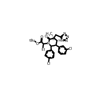 CCC(C(=O)OC(C)(C)C)N1C(=O)[C@@](C)(Cc2nnn[nH]2)CC(c2cccc(Cl)c2)C1c1ccc(Cl)cc1